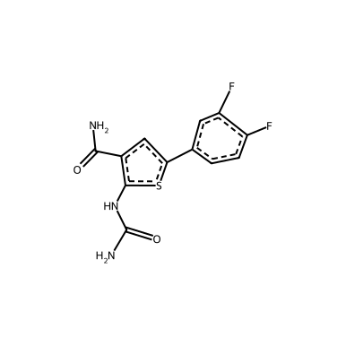 NC(=O)Nc1sc(-c2ccc(F)c(F)c2)cc1C(N)=O